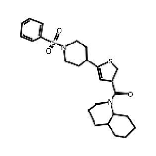 O=C(C1C=C(C2CCN(S(=O)(=O)c3ccccc3)CC2)SC1)N1CCCC2CCCCC21